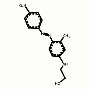 Cc1cc(NCCO)ccc1/N=N/c1ccc([N+](=O)[O-])cc1